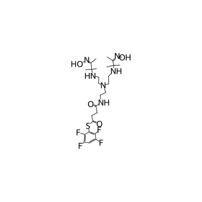 C/C(=N/O)C(C)(C)NCCN(CCNC(=O)CCC(=O)Sc1c(F)c(F)cc(F)c1F)CCNC(C)(C)/C(C)=N\O